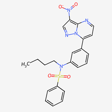 CCCCN(c1cccc(-c2ccnc3c([N+](=O)[O-])cnn23)c1)S(=O)(=O)c1ccccc1